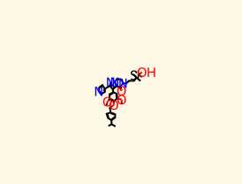 COc1cc(-c2c(-c3ccncc3)nn3c2C(=O)N(CCCC(C)(C)[Si](C)(C)O)CC3)cc(OC)c1OCc1ccc(C(C)C)cc1